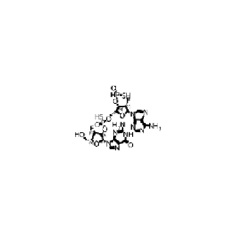 Nc1nc2c(ncn2[C@@H]2O[C@H](CO)[C@@H](F)[C@H]2OP(=O)(S)OC[C@H]2O[C@@H](n3cnc4c(N)ncnc43)[C@@H](F)[C@@H]2O[PH](=O)S)c(=O)[nH]1